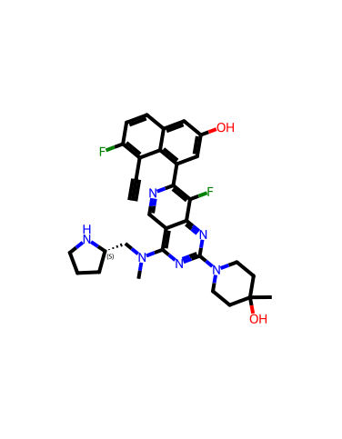 C#Cc1c(F)ccc2cc(O)cc(-c3ncc4c(N(C)C[C@@H]5CCCN5)nc(N5CCC(C)(O)CC5)nc4c3F)c12